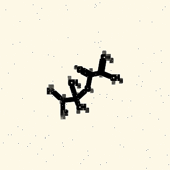 C=C(C)C(=O)OC(C)(C)N(CC)CC